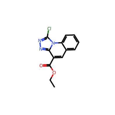 CCOC(=O)c1cc2ccccc2n2c(Cl)nnc12